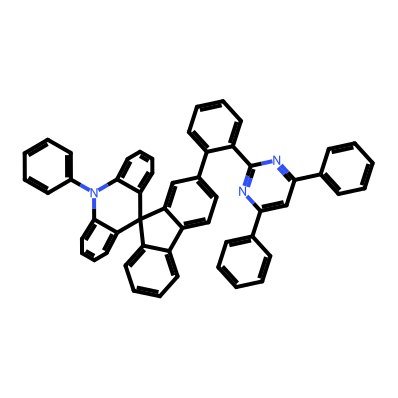 c1ccc(-c2cc(-c3ccccc3)nc(-c3ccccc3-c3ccc4c(c3)C3(c5ccccc5-4)c4ccccc4N(c4ccccc4)c4ccccc43)n2)cc1